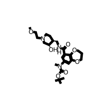 COCCN1CC[C@@H](CNC(=O)c2cc(N(C)C(=O)OC(C)(C)C)cc3c2OCCCO3)[C@H](O)C1